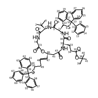 CC(C)[C@H]1NC(=O)[C@@H](CSC(c2ccccc2)(c2ccccc2)c2ccccc2)NC(=O)[C@@H](CCC(=O)OC(C)(C)C)NC(=O)C[C@@H](/C=C/CCSC(c2ccccc2)(c2ccccc2)c2ccccc2)OC(=O)CNC1=O